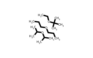 CC(C)OC(C)C.CCCOCCC.CCOC(C)(C)C